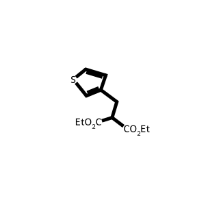 CCOC(=O)C(Cc1ccsc1)C(=O)OCC